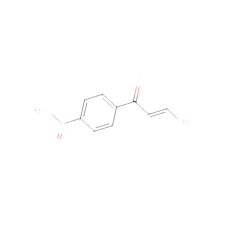 CC=CC(=O)c1ccc([PH](=O)OC)cc1